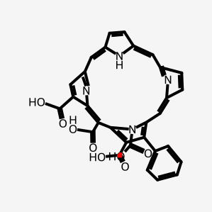 O=C(O)C1=Cc2cc3ccc(cc4nc(cc5c(-c6ccccc6)c(C(=O)O)c(c(C(=O)O)c1n2)n5C(=O)O)C=C4)[nH]3